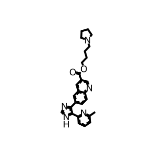 Cc1cccc(-c2[nH]cnc2-c2ccc3ncc(C(=O)OCCCCN4CCCC4)cc3c2)n1